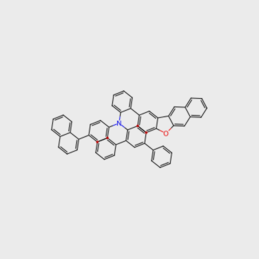 c1ccc(-c2ccc(N(c3ccc(-c4cccc5ccccc45)cc3)c3ccccc3-c3ccc4oc5cc6ccccc6cc5c4c3)c(-c3ccccc3)c2)cc1